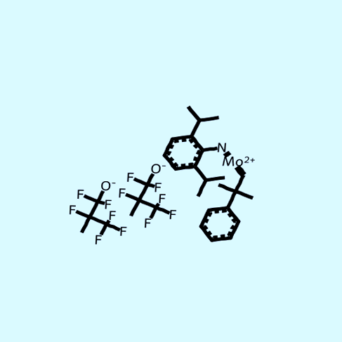 CC(C)c1cccc(C(C)C)c1[N]=[Mo+2]=[CH]C(C)(C)c1ccccc1.CC(F)(C([O-])(F)F)C(F)(F)F.CC(F)(C([O-])(F)F)C(F)(F)F